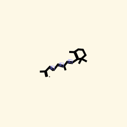 [CH]=C(C)/C=C/C=C(C)/C=C/C1=C(C)CCCC1(C)C